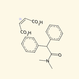 CN(C)C(=O)C(c1ccccc1)c1ccccc1.O=C(O)/C=C\C(=O)O